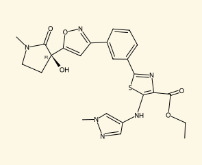 CCOC(=O)c1nc(-c2cccc(-c3cc([C@]4(O)CCN(C)C4=O)on3)c2)sc1Nc1cnn(C)c1